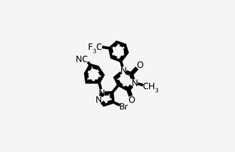 Cn1c(=O)c(-c2c(Br)cnn2-c2ccc(C#N)cc2)cn(-c2cccc(C(F)(F)F)c2)c1=O